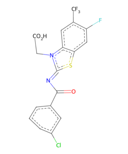 O=C(O)Cn1/c(=N/C(=O)c2cccc(Cl)c2)sc2cc(F)c(C(F)(F)F)cc21